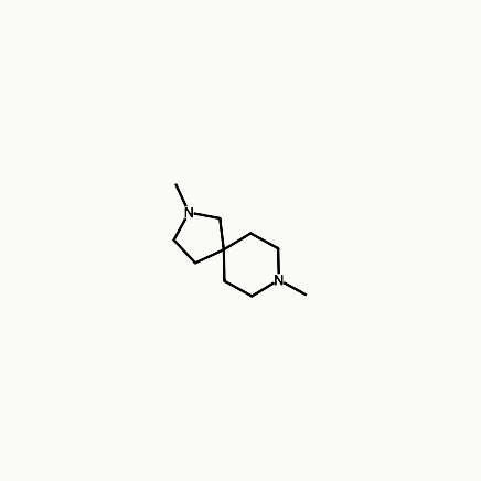 CN1CCC2(CC1)CCN(C)C2